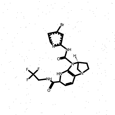 O=C(NCC(F)(F)F)C1C=CC2=C(N1)N(C(=O)Nc1cc(Br)ccn1)[C@H]1CCN2C1